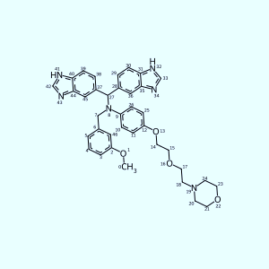 COc1cccc(CN(c2ccc(OCCOCCN3CCOCC3)cc2)C(c2ccc3[nH]cnc3c2)c2ccc3[nH]cnc3c2)c1